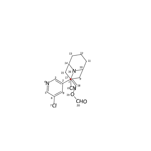 N#CC1(c2cncc(Cl)c2)CC2CCCC(C1)N2C=COC=O